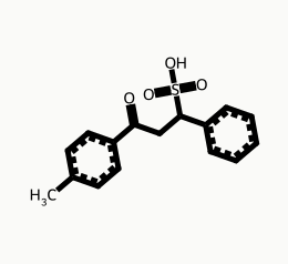 Cc1ccc(C(=O)CC(c2ccccc2)S(=O)(=O)O)cc1